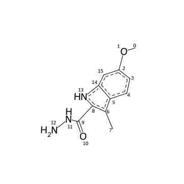 COc1ccc2c(C)c(C(=O)NN)[nH]c2c1